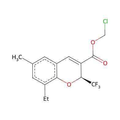 CCc1cc(C)cc2c1O[C@H](C(F)(F)F)C(C(=O)OCCl)=C2